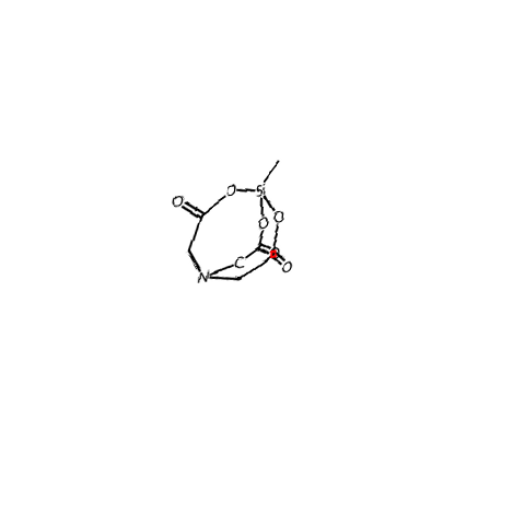 C[Si]12OC(=O)CN(CC(=O)O1)CC(=O)O2